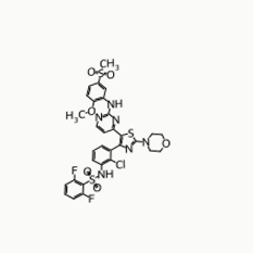 COc1ccc(S(C)(=O)=O)cc1Nc1nccc(-c2sc(N3CCOCC3)nc2-c2cccc(NS(=O)(=O)c3c(F)cccc3F)c2Cl)n1